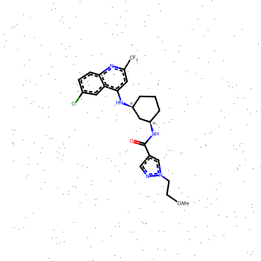 COCCn1cc(C(=O)N[C@@H]2CCC[C@H](Nc3cc(C(F)(F)F)nc4ccc(Cl)cc34)C2)cn1